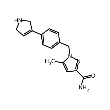 Cc1cc(C(N)=O)nn1Cc1ccc(C2=CCNC2)cc1